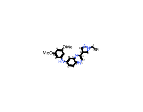 COc1cc(Nc2ccc3ncc(C4C=NN(CC(C)C)C4)nc3c2)cc(OC)c1